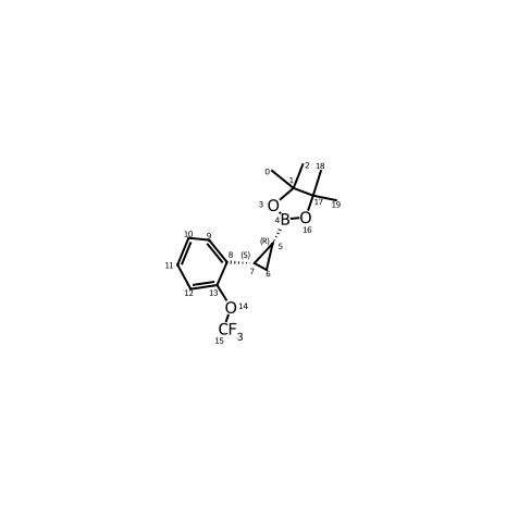 CC1(C)OB([C@@H]2C[C@@H]2c2ccccc2OC(F)(F)F)OC1(C)C